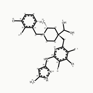 CCc1c(F)c(C[C@@]2(C(O)O)CCN(Cc3cccc(Cl)c3F)[C@H](C)C2)nc(Nc2cc(C)[nH]n2)c1F